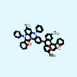 CC(C)(C)c1ccc(C(c2ccc3c(c2)N(c2ccccc2)c2cc(C(C)(C)C)cc4c2B3c2oc3c(c2N4c2ccccc2)CCCC3)c2ccc(C(C)(C)C)cc2-c2cccc3oc4ccccc4c23)cc1